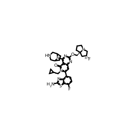 Nc1nc2c(-c3cc4nc(OC[C@@]56CCCN5C[C@H](F)C6)nc(N5C6CCC5CNC6)c4c(=O)n3CC3CC3)ccc(F)c2s1